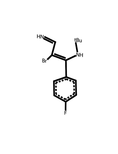 CC(C)(C)N/C(=C(/Br)C=N)c1ccc(F)cc1